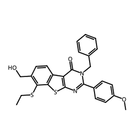 CCSc1c(CO)ccc2c1sc1nc(-c3ccc(OC)cc3)n(Cc3ccccc3)c(=O)c12